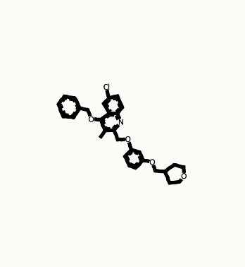 Cc1c(COc2cccc(OCC3CCOCC3)c2)nc2ccc(Cl)cc2c1OCc1ccccc1